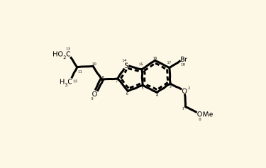 COCOc1cc2cc(C(=O)CC(C)C(=O)O)sc2cc1Br